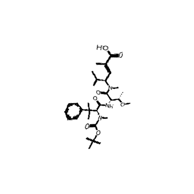 CO[C@@H](C)[C@H](NC(=O)[C@@H](N(C)C(=O)OC(C)(C)C)C(C)(C)c1ccccc1)C(=O)N(C)[C@H](/C=C(\C)C(=O)O)C(C)C